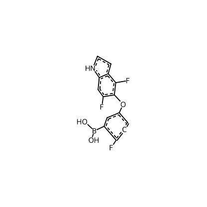 OB(O)c1cc(Oc2c(F)cc3[nH]ccc3c2F)ccc1F